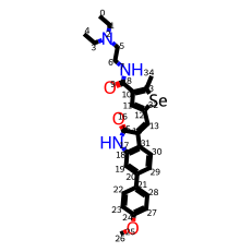 CCN(CC)CCNC(=O)c1cc(/C=C2\C(=O)Nc3cc(-c4ccc(OC)cc4)ccc32)[se]c1C